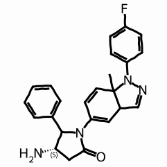 CC12C=CC(N3C(=O)C[C@H](N)C3c3ccccc3)=CC1C=NN2c1ccc(F)cc1